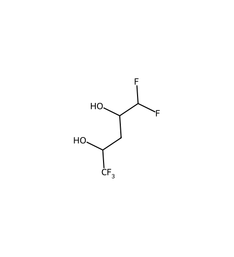 OC(CC(O)C(F)(F)F)C(F)F